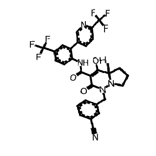 CC12CCCN1N(Cc1cccc(C#N)c1)C(=O)C(C(=O)Nc1ccc(C(F)(F)F)cc1-c1ccc(C(F)(F)F)nc1)=C2O